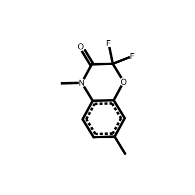 Cc1ccc2c(c1)OC(F)(F)C(=O)N2C